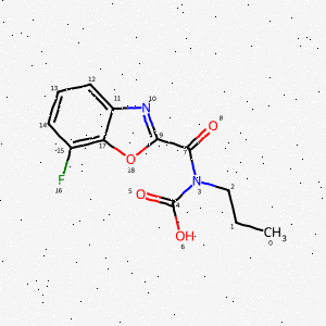 CCCN(C(=O)O)C(=O)c1nc2cccc(F)c2o1